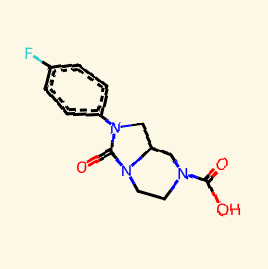 O=C(O)N1CCN2C(=O)N(c3ccc(F)cc3)CC2C1